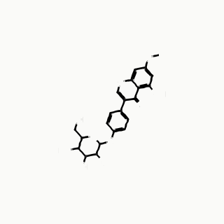 COc1cc(O)c2c(=O)c(-c3ccc(OC4OC(CO)C(O)C(O)C4O)cc3)coc2c1